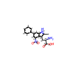 Cc1[nH]c2cc(-c3ccccc3)cc([N+](=O)[O-])c2c1CC(N)C(=O)O